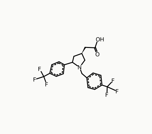 O=C(O)C[C@@H]1CC(c2ccc(C(F)(F)F)cc2)N(Cc2ccc(C(F)(F)F)cc2)C1